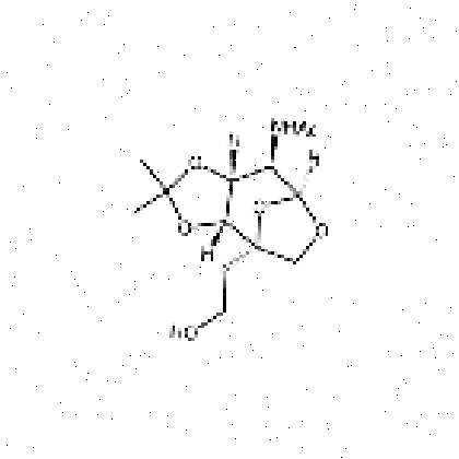 CC(=O)N[C@H]1[C@H]2OC[C@](CCO)(O2)[C@@H]2OC(C)(C)O[C@H]12